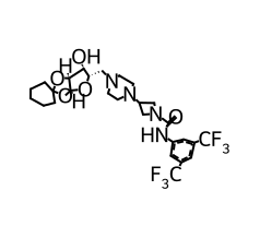 O=C(Nc1cc(C(F)(F)F)cc(C(F)(F)F)c1)N1CC(N2CCN(C[C@@H]3O[C@H]4OC5(CCCCC5)O[C@H]4[C@@H]3O)CC2)C1